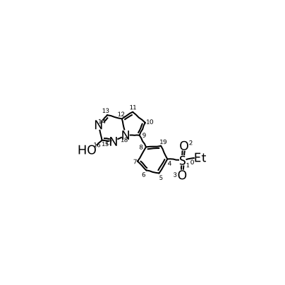 CCS(=O)(=O)c1cccc(-c2ccc3cnc(O)nn23)c1